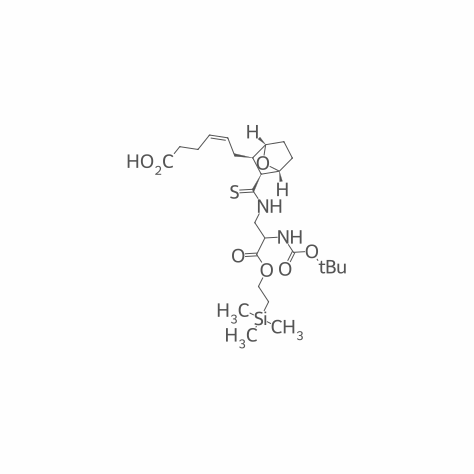 CC(C)(C)OC(=O)NC(CNC(=S)[C@H]1[C@@H](C/C=C\CCC(=O)O)[C@@H]2CC[C@H]1O2)C(=O)OCC[Si](C)(C)C